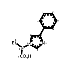 CCN(C(=O)O)n1cnc(-c2ccccc2)c1